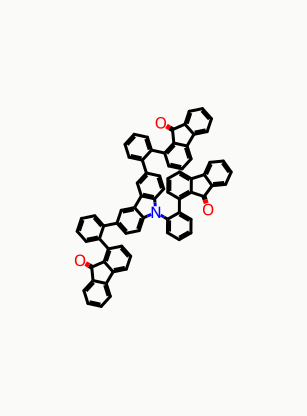 O=C1c2ccccc2-c2cccc(-c3ccccc3-c3ccc4c(c3)c3cc(-c5ccccc5-c5cccc6c5C(=O)c5ccccc5-6)ccc3n4-c3ccccc3-c3cccc4c3C(=O)c3ccccc3-4)c21